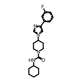 O=C(NC1CCCCC1)N1CCC(n2cnc(-c3cccc(F)c3)c2)CC1